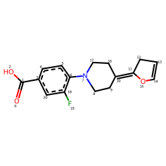 O=C(O)c1ccc(N2CCC(=C3CC=CO3)CC2)c(F)c1